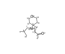 CC(=O)SCC1(NCC(C)C)CCOCC1